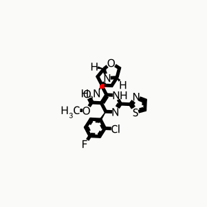 COC(=O)C1=C(CN2[C@@H]3CO[C@H]2C[C@@H](N)C3)NC(c2nccs2)=N[C@H]1c1ccc(F)cc1Cl